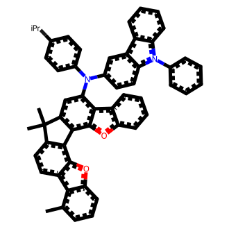 Cc1cccc2oc3c4c(ccc3c12)C(C)(C)c1cc(N(c2ccc(C(C)C)cc2)c2ccc3c(c2)c2ccccc2n3-c2ccccc2)c2c(oc3ccccc32)c1-4